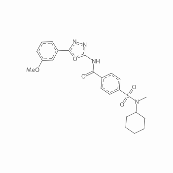 COc1cccc(-c2nnc(NC(=O)c3ccc(S(=O)(=O)N(C)C4CCCCC4)cc3)o2)c1